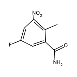 Cc1c(C(N)=O)cc(F)cc1[N+](=O)[O-]